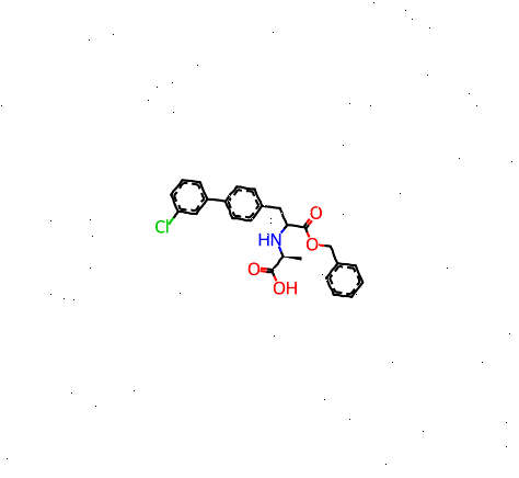 C[C@H](NC(Cc1ccc(-c2cccc(Cl)c2)cc1)C(=O)OCc1ccccc1)C(=O)O